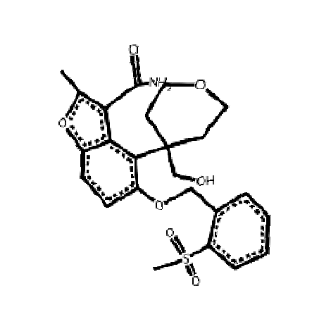 Cc1oc2ccc(OCc3ccccc3S(C)(=O)=O)c(C3(CO)CCOCC3)c2c1C(N)=O